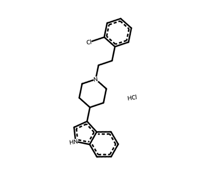 Cl.Clc1ccccc1CCN1CCC(c2c[nH]c3ccccc23)CC1